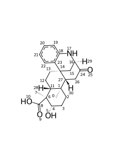 C[C@]12CC[C@H](O)[C@@](C)(C(=O)O)[C@@H]1CC[C@@]13C[C@@H](Nc4ccccc41)C(=O)C[C@@H]32